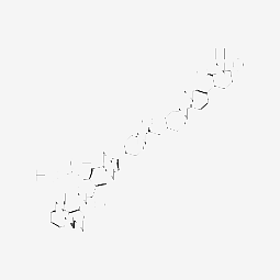 CC(C)Oc1cc2nc(C3CCN(C(=O)CC4CCN(c5ccc(C6CCC(=O)NC6=O)cn5)CC4)CC3)cn2cc1C(=O)Nc1cnn2cccnc12